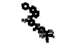 C=C(/C=C\C=C(/C)C(C)(C)C#N)C(=O)Nc1ccc(C)c(Nc2ncnc3cnc(N4CCOCC4)nc23)c1